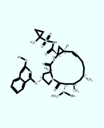 CCOc1cc2ccccc2c(O[C@@H]2C[C@H]3C(=O)N[C@]4(C(=O)NS(=O)(=O)C5(C)CC5)C[C@H]4/C=C\CC[C@H](C)C[C@@H](C)[C@H](N(C(=O)O)C(C)(C)C)C(=O)N3C2)n1